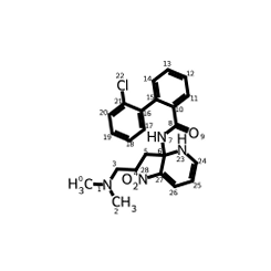 CN(C)CCCC1(NC(=O)c2ccccc2-c2ccccc2Cl)NC=CC=C1[N+](=O)[O-]